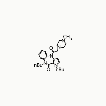 CCCCN1C(=O)c2c(ccn2CCCC)N(C(=O)CN2CCN(C)CC2)c2ccccc21